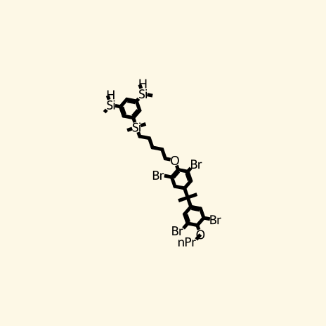 CCCOC1C(Br)=CC(C(C)(C)C2C=C(Br)C(OCCCCC[Si](C)(C)c3cc([SiH](C)C)cc([SiH](C)C)c3)=C(Br)C2)=CC1Br